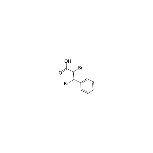 O=C(O)C(Br)C(Br)c1ccccc1